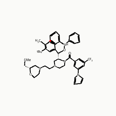 COC[C@@H]1CN(CCN2CCN(C(=O)c3cc(-n4cccc4)cc(C(F)(F)F)c3)[C@@H](C(O[SiH](c3ccccc3)c3ccccc3)c3ccc(C)c(C(C)(C)C)c3)C2)CCO1